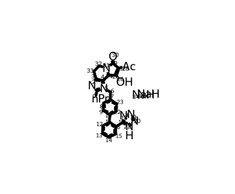 CCCc1nc2c(n1Cc1ccc(-c3ccccc3-c3nnn[nH]3)cc1)C1C(O)=C(C(C)=O)C(=O)N1CC2.[NaH].[NaH]